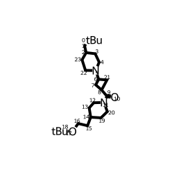 CC(C)(C)CC1CCN(C2CC(C(=O)N3CCC(CCOC(C)(C)C)CC3)C2)CC1